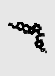 CCN(Cc1ccc(C(F)(F)F)cn1)c1ncnc2c1ccn2CC1CCN(CC(C)=O)C[C@@H]1O